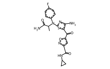 CC(C(N)=O)N(c1ccc(F)cc1)c1nc(N)c(C(=O)c2cc(C(=O)NC3CC3)no2)s1